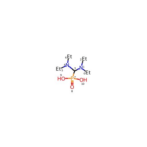 CCN(CC)C(N(CC)CC)P(=O)(O)O